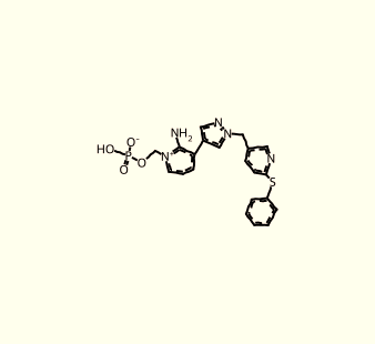 Nc1c(-c2cnn(Cc3ccc(Sc4ccccc4)nc3)c2)ccc[n+]1COP(=O)([O-])O